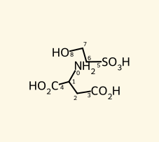 NC(CC(=O)O)C(=O)O.O=S(=O)(O)CCO